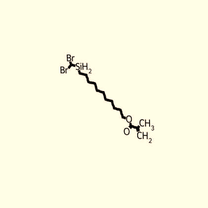 C=C(C)C(=O)OCCCCCCCCCCC[SiH2]C(Br)Br